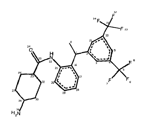 CC(c1cc(C(F)(F)F)cc(C(F)(F)F)c1)c1ccccc1NC(=O)C1CCC(N)CC1